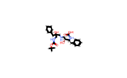 CC(C)(C)OC(=O)NCC(O)(CNC[C@@H](O)[C@H](Cc1ccccc1)NC(=O)O)Cc1ccccc1